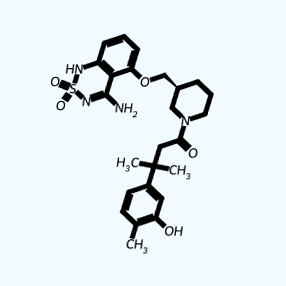 Cc1ccc(C(C)(C)CC(=O)N2CCC[C@H](COc3cccc4c3C(N)=NS(=O)(=O)N4)C2)cc1O